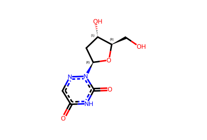 O=c1cnn([C@H]2C[C@H](O)[C@@H](CO)O2)c(=O)[nH]1